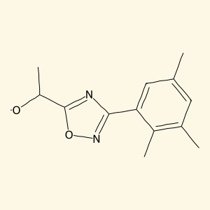 Cc1cc(C)c(C)c(-c2noc(C(C)[O])n2)c1